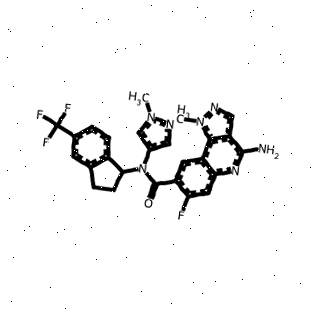 Cn1cc(N(C(=O)c2cc3c(cc2F)nc(N)c2cnn(C)c23)C2CCc3cc(C(F)(F)F)ccc32)cn1